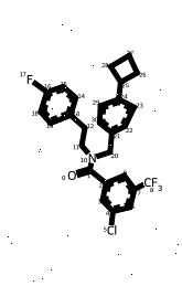 O=C(c1cc(Cl)cc(C(F)(F)F)c1)N(CCc1ccc(F)cc1)Cc1ccc(C2CCC2)cc1